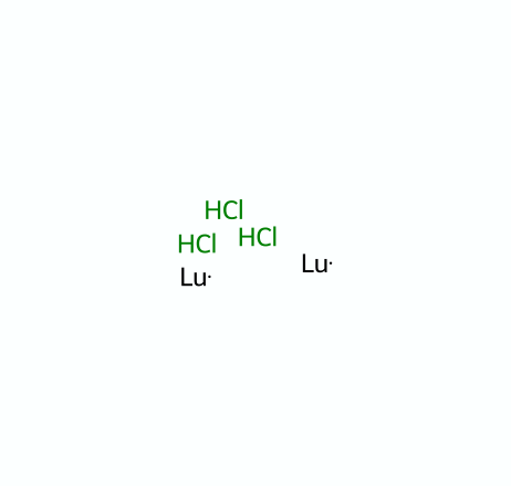 Cl.Cl.Cl.[Lu].[Lu]